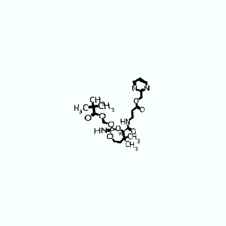 CC(C)(C)C(=O)OCOP1(=N)OCCC(C)(C)[C@H](C(=O)NCCC(=O)OCc2ncccn2)O1